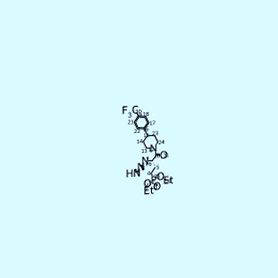 CCOP(=O)(CC[C@H](N=[N+]=N)C(=O)N1CCC(c2ccc(C(F)(F)F)cc2)CC1)OCC